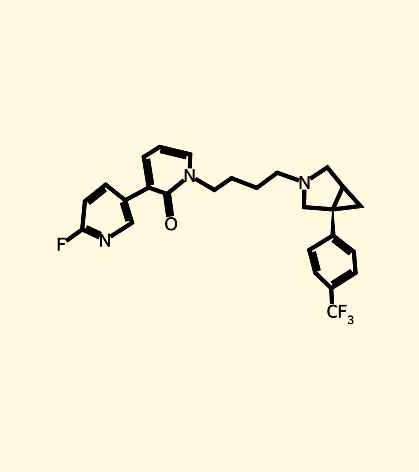 O=c1c(-c2ccc(F)nc2)cccn1CCCCN1CC2C[C@]2(c2ccc(C(F)(F)F)cc2)C1